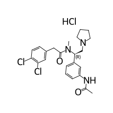 CC(=O)Nc1cccc([C@H](CN2CCCC2)N(C)C(=O)Cc2ccc(Cl)c(Cl)c2)c1.Cl